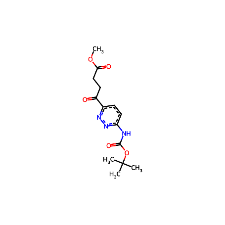 COC(=O)CCC(=O)c1ccc(NC(=O)OC(C)(C)C)nn1